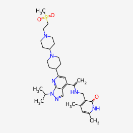 C=C(NCc1c(C)cc(C)[nH]c1=O)c1cc(C2CCN(C3CCN(CCS(C)(=O)=O)CC3)CC2)nc2c1cnn2C(C)C